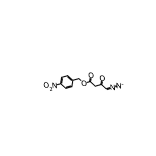 [N-]=[N+]=CC(=O)CC(=O)OCc1ccc([N+](=O)[O-])cc1